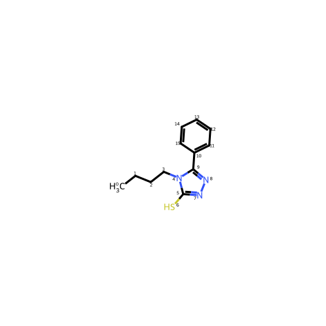 CCCCn1c(S)nnc1-c1ccccc1